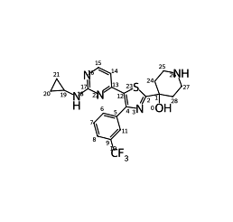 OC1(c2nc(-c3cccc(C(F)(F)F)c3)c(-c3ccnc(NC4CC4)n3)s2)CCNCC1